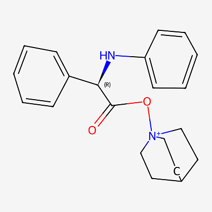 O=C(O[N+]12CCC(CC1)CC2)[C@H](Nc1ccccc1)c1ccccc1